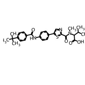 CC(C)C(C(=O)O)N(C)C(=O)c1ncc(-c2ccc(NC(=O)c3ccc(C(C)(C)C)cc3)cc2)s1